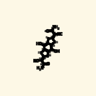 [C-]#[N+]C(C(N)=O)=C1Sc2c(O)c3c(c(O)c2S1)SC(=C(C#N)C(N)=O)S3